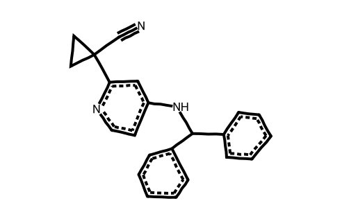 N#CC1(c2cc(NC(c3ccccc3)c3ccccc3)ccn2)CC1